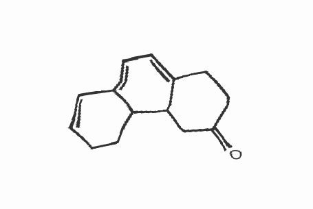 O=C1CCC2=CC=C3C=CCCC3C2C1